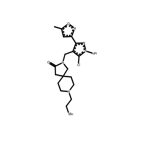 CCCn1nc(-c2cc(C)on2)c(CN2CC3(CCN(CCC(C)(C)C)CC3)CC2=O)c1Cl